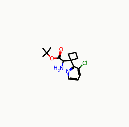 CC(C)(C)OC(=O)C(N)C1(c2ncccc2Cl)CCC1